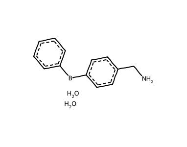 NCc1ccc([B]c2ccccc2)cc1.O.O